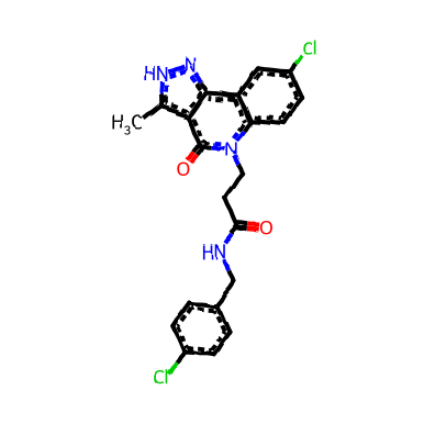 Cc1[nH]nc2c1c(=O)n(CCC(=O)NCc1ccc(Cl)cc1)c1ccc(Cl)cc21